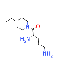 CC(C)C1CCN(C(=O)[C@@H](N)CCCN)CC1